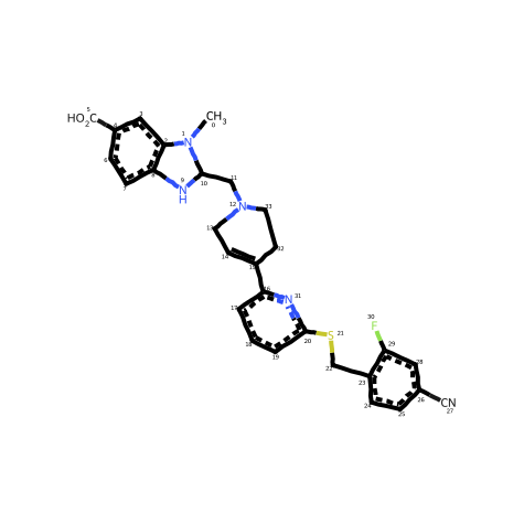 CN1c2cc(C(=O)O)ccc2NC1CN1CC=C(c2cccc(SCc3ccc(C#N)cc3F)n2)CC1